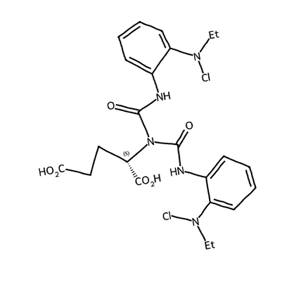 CCN(Cl)c1ccccc1NC(=O)N(C(=O)Nc1ccccc1N(Cl)CC)[C@@H](CCC(=O)O)C(=O)O